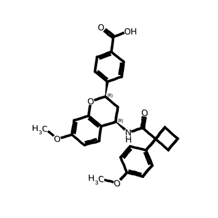 COc1ccc(C2(C(=O)N[C@@H]3C[C@H](c4ccc(C(=O)O)cc4)Oc4cc(OC)ccc43)CCC2)cc1